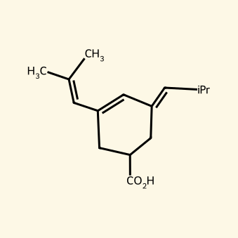 CC(C)=CC1=C/C(=C/C(C)C)CC(C(=O)O)C1